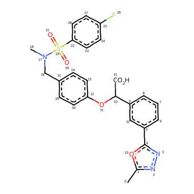 Cc1nnc(-c2cccc(C(Oc3ccc(CN(C)S(=O)(=O)c4ccc(F)cc4)cc3)C(=O)O)c2)o1